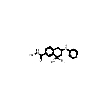 CC1(C)CC(Nc2ccncc2)Cc2ccc(C(=O)NO)cc21